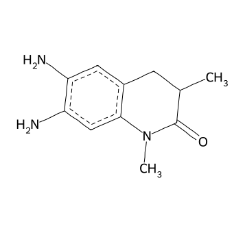 CC1Cc2cc(N)c(N)cc2N(C)C1=O